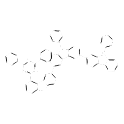 c1ccc(-c2nc(-c3ccccc3)nc(-c3cccc4sc5ccc(-c6ccc7c(c6)c6cc(-c8ccc9c%10ccccc%10n(-c%10ccccc%10)c9c8)ccc6n7-c6ccccc6)cc5c34)n2)cc1